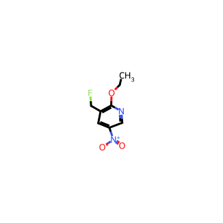 CCOc1ncc([N+](=O)[O-])cc1CF